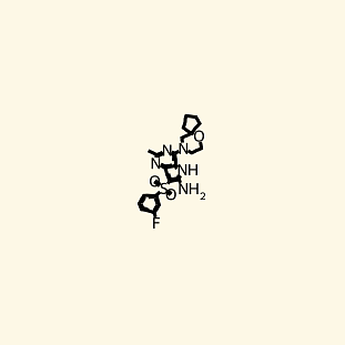 Cc1nc(N2CCOC3(CCCC3)C2)c2[nH]c(N)c(S(=O)(=O)c3cccc(F)c3)c2n1